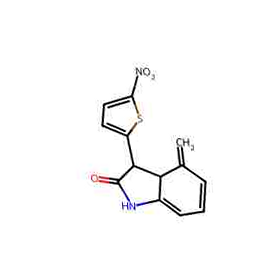 C=C1C=CC=C2NC(=O)C(c3ccc([N+](=O)[O-])s3)C12